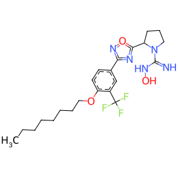 CCCCCCCCOc1ccc(-c2noc(C3CCCN3C(=N)NO)n2)cc1C(F)(F)F